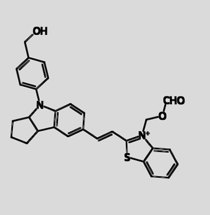 O=COC[n+]1c(/C=C/c2ccc3c(c2)C2CCCC2N3c2ccc(CO)cc2)sc2ccccc21